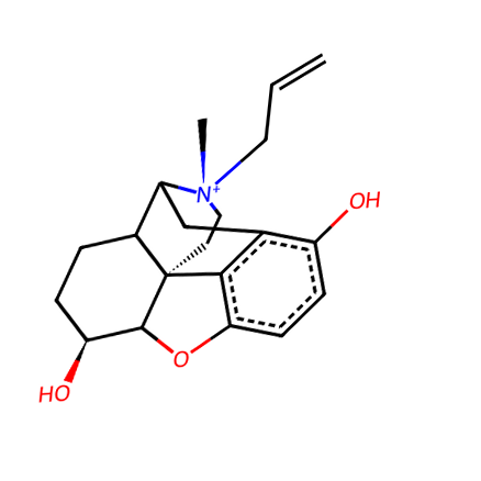 C=CC[N@+]1(C)CC[C@@]23c4c5ccc(O)c4CC1C2CC[C@H](O)C3O5